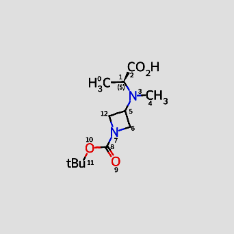 C[C@@H](C(=O)O)N(C)C1CN(C(=O)OC(C)(C)C)C1